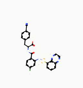 N#Cc1ccc(CC(NC(=O)c2ccc(Cl)cc2NS(=O)(=O)c2cccc3nccnc23)C(=O)O)cc1